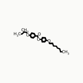 CCCCCCC=COc1ccc(OC(=O)c2ccc(OCC(C)CC)cc2)cc1